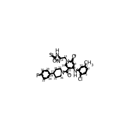 Cc1ccc(Cl)c(Nc2cc(=O)n(Cc3noc(=S)[nH]3)cc2C(=O)N2CCC(c3ccc(F)cc3)CC2)c1